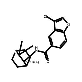 CC1(C)[C@@H](NC(=O)c2ccc3occ(Cl)c3c2)C2CCN1CC2